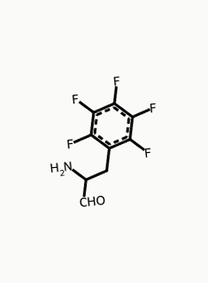 NC(C=O)Cc1c(F)c(F)c(F)c(F)c1F